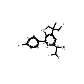 CC1(CI)COc2c1cc(C(O)C(F)F)nc2-c1ccc(F)cc1